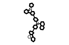 c1ccc(-n2c3ccccc3c3cc(-c4ccc(N(c5ccc(-c6ccc7oc8ccccc8c7c6)cc5)c5cccc6ccccc56)cc4)ccc32)cc1